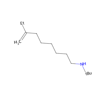 C=C(CC)CCCCCCNC(C)(C)C